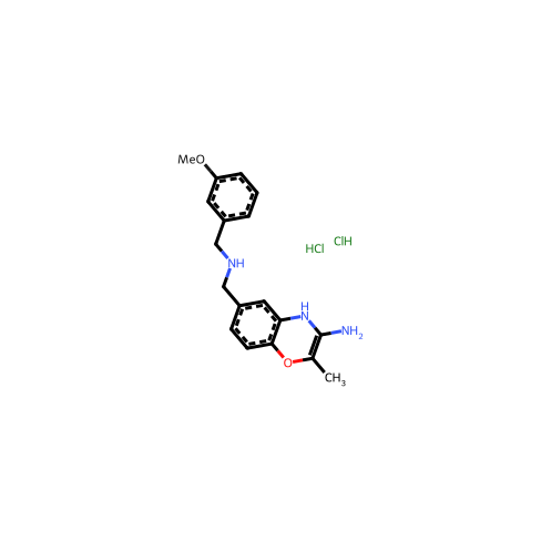 COc1cccc(CNCc2ccc3c(c2)NC(N)=C(C)O3)c1.Cl.Cl